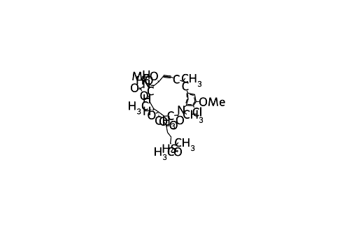 COc1cc2cc(c1Cl)N(C)C(=O)C[C@H](OC(=O)CCC[SH](C)(C)=O)[C@@]1(C)O[C@H]1[C@H](C)[C@@H]1C[C@@](O)(NC(=O)O1)[C@H](OC)C#CCC(C)C2